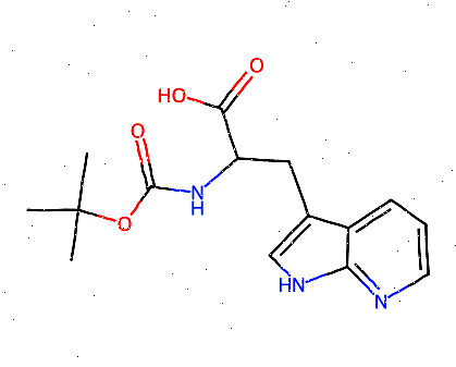 CC(C)(C)OC(=O)NC(Cc1c[nH]c2ncccc12)C(=O)O